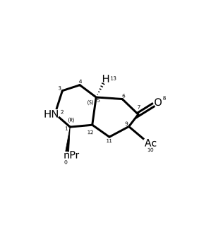 CCC[C@H]1NCC[C@H]2CC(=O)C(C(C)=O)CC21